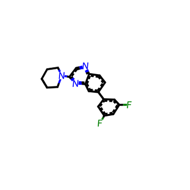 Fc1cc(F)cc(-c2ccc3ncc(N4CCCCC4)nc3c2)c1